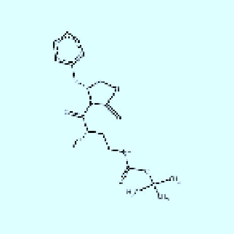 C[C@@H](CCNC(=O)OC(C)(C)C)C(=O)N1C(=O)OC[C@H]1Cc1ccccc1